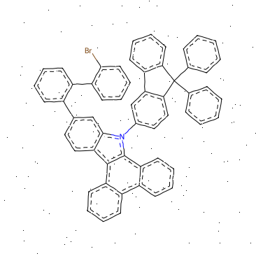 Brc1ccccc1-c1ccccc1-c1ccc2c3c4ccccc4c4ccccc4c3n(-c3ccc4c(c3)-c3ccccc3C4(c3ccccc3)c3ccccc3)c2c1